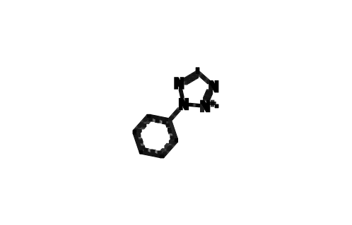 [C]1=NN(c2ccccc2)[N+]=N1